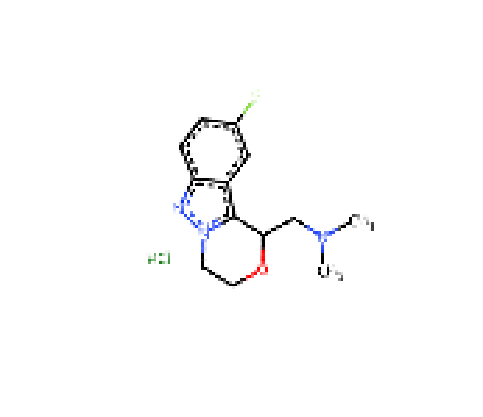 CN(C)CC1OCCn2nc3ccc(F)cc3c21.Cl